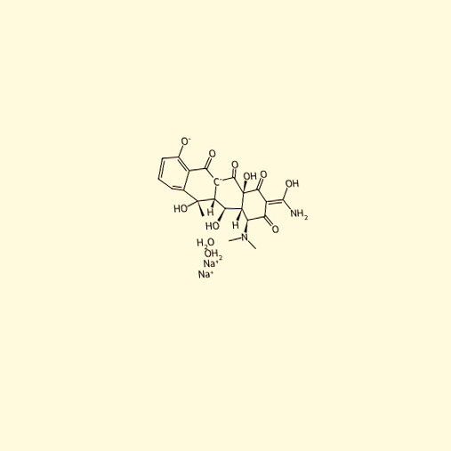 CN(C)[C@@H]1C(=O)/C(=C(\N)O)C(=O)[C@@]2(O)C(=O)[C-]3C(=O)c4c([O-])cccc4[C@@](C)(O)[C@H]3[C@H](O)[C@@H]12.O.O.[Na+].[Na+]